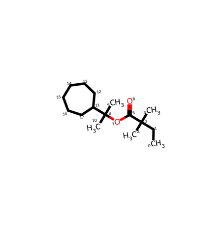 CCC(C)(C)C(=O)OC(C)(C)C1CCCCCC1